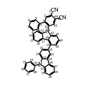 N#Cc1cc(-c2ccccc2)c(-n2c3ccccc3c3c(-c4ccc5c(c4)c4ccccc4n5-c4ccccc4)cccc32)cc1C#N